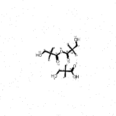 CC(C)(CO)C(=O)O.CC(C)(CO)C(=O)OC(=O)C(C)(C)CO